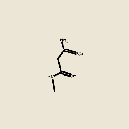 CNC(=N)CC(=N)N